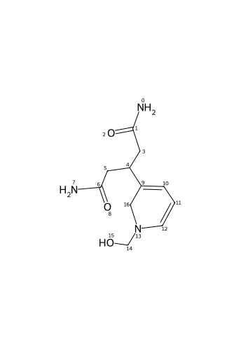 NC(=O)CC(CC(N)=O)C1=CC=CN(CO)C1